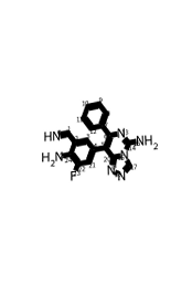 N=Cc1cc(-c2c(-c3ccccc3)nc(N)n3cnnc23)cc(F)c1N